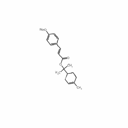 COc1ccc(/C=C/C(=O)OC(C)(C)C2CC=C(C)CC2)cc1